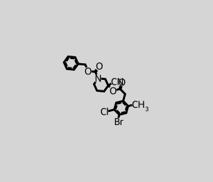 Cc1cc(Br)c(Cl)cc1CC(=O)OC1(C#N)CCCN(C(=O)OCc2ccccc2)C1